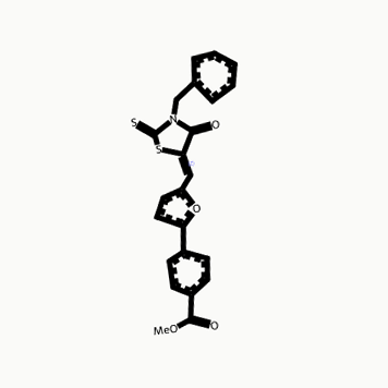 COC(=O)c1ccc(-c2ccc(/C=C3\SC(=S)N(Cc4ccccc4)C3=O)o2)cc1